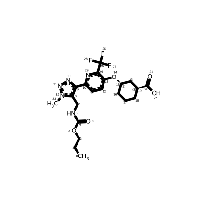 CCCOC(=O)NCc1c(-c2ccc(O[C@H]3CCC[C@H](C(=O)O)C3)c(C(F)(F)F)n2)nnn1C